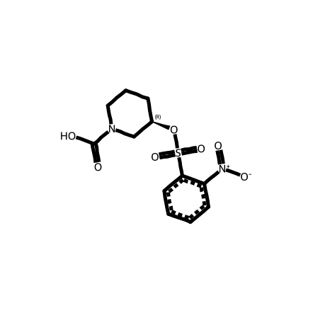 O=C(O)N1CCC[C@@H](OS(=O)(=O)c2ccccc2[N+](=O)[O-])C1